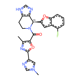 Cc1nc(-c2cn(C)cn2)oc1C(=O)N1CCc2[nH]cnc2[C@H]1c1cc2c(F)cccc2o1